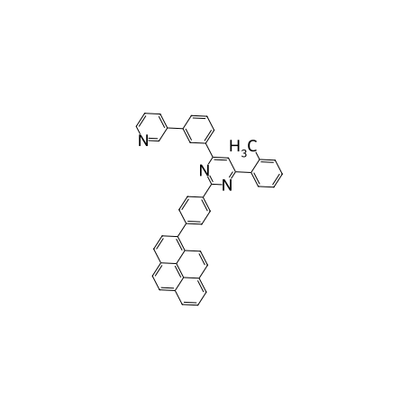 Cc1ccccc1-c1cc(-c2cccc(-c3cccnc3)c2)nc(-c2ccc(-c3ccc4ccc5cccc6ccc3c4c56)cc2)n1